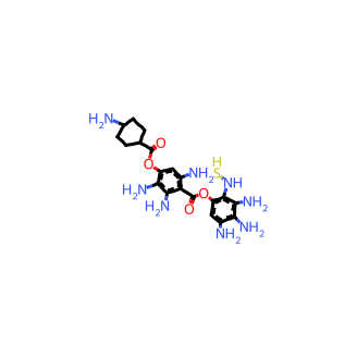 Nc1cc(OC(=O)c2c(N)cc(OC(=O)C3CCC(N)CC3)c(N)c2N)c(NS)c(N)c1N